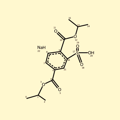 CC(C)OC(=O)c1ccc(C(=O)OC(C)C)c(S(=O)(=O)O)c1.[NaH]